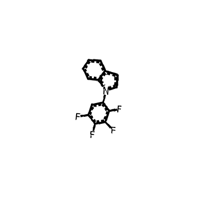 Fc1cc(-n2ccc3ccccc32)c(F)c(F)c1F